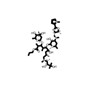 CCCOC(=O)C(C)C(O[C@H]1C[C@@](C)(O)C(O)C(C)O1)C(C)[C@@H](OC1OC(C)CC(N(C)C[C@@H]2N=C(c3cccn3C)O[C@@H]2C)[C@H]1O)[C@@](C)(O)C[C@@H](C)CN(C)[C@H](C)[C@@H](O)C(C)(C)O